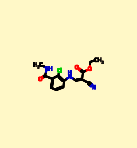 CCOC(=O)C(C#N)=CNc1cccc(C(=O)NC)c1Cl